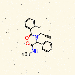 C#CCN(C(=O)c1ccccc1C)C(C(=O)NCCCC)c1ccccc1